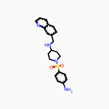 Nc1ccc(S(=O)(=O)N2CCC(NCc3ccc4cccnc4c3)CC2)cc1